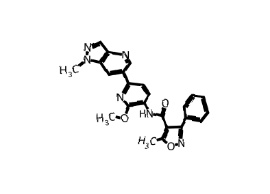 COc1nc(-c2cnc3cnn(C)c3c2)ccc1NC(=O)c1c(-c2ccccc2)noc1C